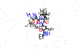 CCC[C@@H](C[C@@H](C#N)NC(=O)[C@@H]1[C@@H]2[C@H](CN1C(=O)[C@@H](N)[C@@H](C)OC(C)(C)C(F)(F)F)C2(C)C)C(=O)NCC